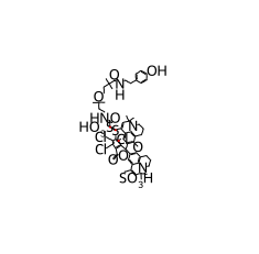 CC(C)(CCNC(=O)CSc1c(Cl)c(Cl)c2c(c1Cl)C1(OC2=O)c2cc3c4c(c2Oc2c1cc1c5c2CCCN5C(C)(C)C=C1CS(=O)(=O)O)CCCN4C(C)(C)C=C3CS(=O)(=O)O)OCCC(C)(C)C(=O)NCCc1ccc(O)cc1